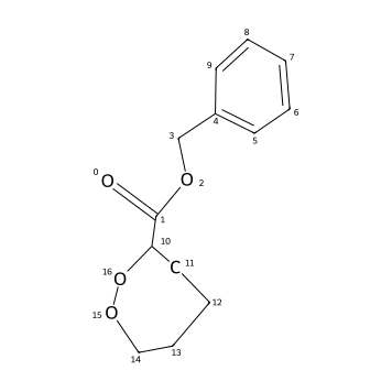 O=C(OCc1ccccc1)C1CCCCOO1